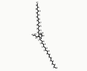 CCCCCCCCCCCCCCCCCCN1C=CN(CCCCCCCCCCCCCCCC)C1CCC